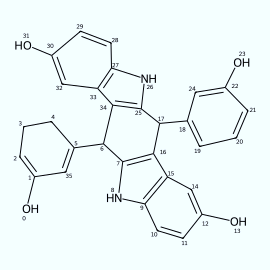 OC1=CCCC(C2c3[nH]c4ccc(O)cc4c3C(c3cccc(O)c3)c3[nH]c4ccc(O)cc4c32)=C1